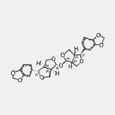 c1cc2c(cc1[C@H]1OC[C@@H]3[C@@H](O[C@H]4OC[C@H]5[C@@H]4CO[C@@H]5c4ccc5c(c4)OCO5)OC[C@@H]31)OCO2